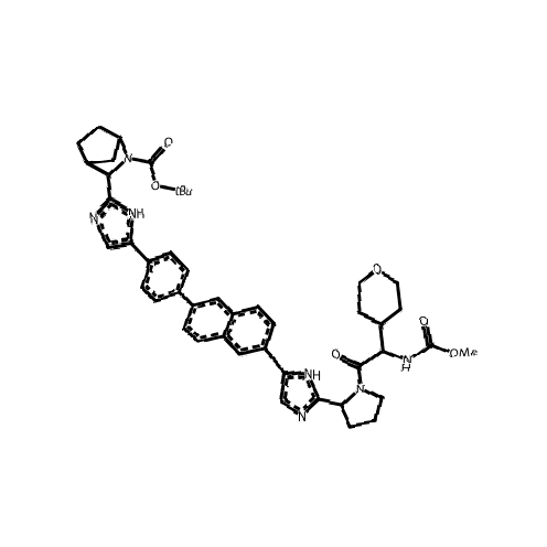 COC(=O)NC(C(=O)N1CCCC1c1ncc(-c2ccc3cc(-c4ccc(-c5cnc(C6C7CCC(C7)N6C(=O)OC(C)(C)C)[nH]5)cc4)ccc3c2)[nH]1)C1CCOCC1